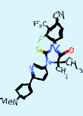 CNc1ccc(-c2ccc(N3C(=S)N(c4ccc(C#N)c(C(F)(F)F)c4F)C(=O)C3(C)C)cn2)cc1